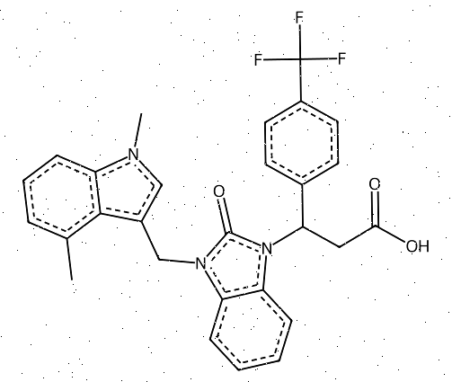 Cc1cccc2c1c(Cn1c(=O)n(C(CC(=O)O)c3ccc(C(F)(F)F)cc3)c3ccccc31)cn2C